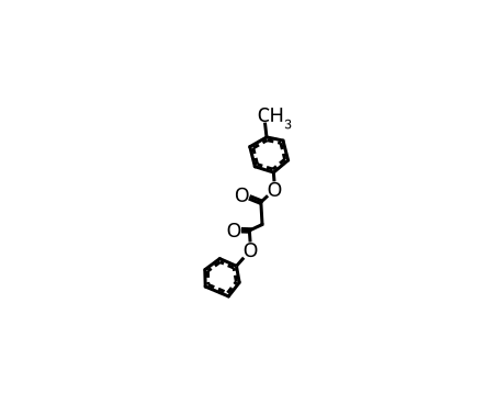 Cc1ccc(OC(=O)CC(=O)Oc2ccccc2)cc1